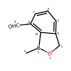 CB1OCc2cccc(C=O)c21